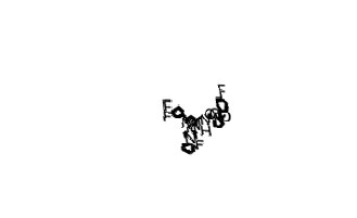 O=C(NCc1cc(-c2ccc(F)c(F)c2)nc(N2CCN(c3ccccc3F)CC2)n1)[C@@H]1CCCN1S(=O)(=O)c1ccc(F)cc1